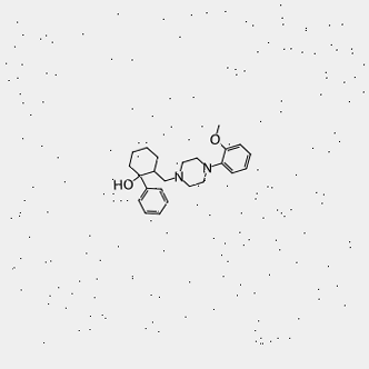 COc1ccccc1N1CCN(CC2CCCCC2(O)c2ccccc2)CC1